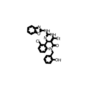 CCC1=C(C(=O)NCc2ccccc2O)C(c2ccccc2Cl)N=C(Nc2nc3ccccc3o2)N1